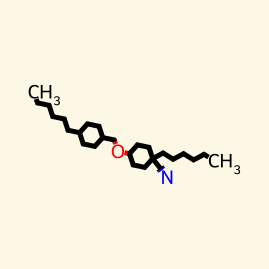 CCCCCCC1CCC(COC2CCC(C#N)(CCCCCC)CC2)CC1